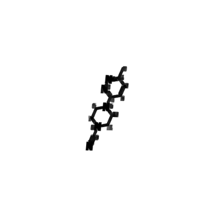 Cc1ccc(N2CCN(C#N)CC2)nn1